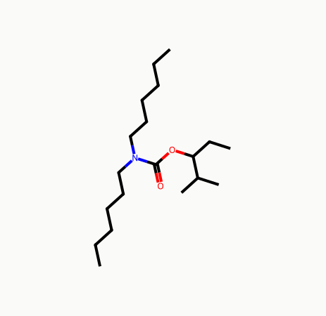 CCCCCCN(CCCCCC)C(=O)OC(CC)C(C)C